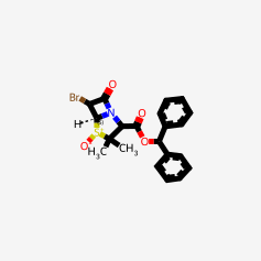 CC1(C)C(C(=O)OC(c2ccccc2)c2ccccc2)N2C(=O)C(Br)[C@@H]2[S+]1[O-]